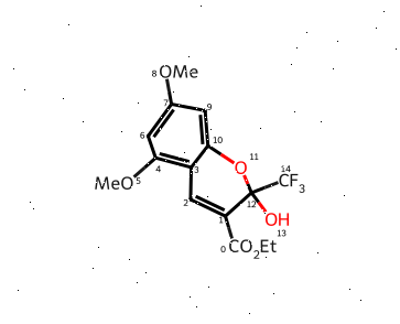 CCOC(=O)C1=Cc2c(OC)cc(OC)cc2OC1(O)C(F)(F)F